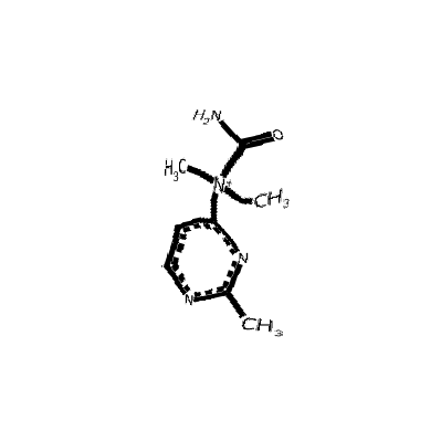 Cc1n[c]cc([N+](C)(C)C(N)=O)n1